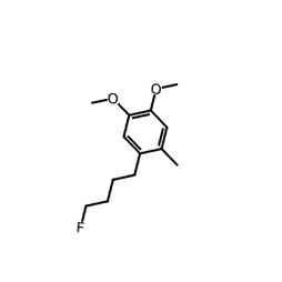 COc1cc(C)c(CCCCF)cc1OC